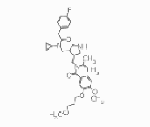 COCCCOc1cc(C(=O)N(CC2CNCC2CN(C(=O)Cc2ccc(F)cc2)C2CC2)C(C)C)ccc1OC